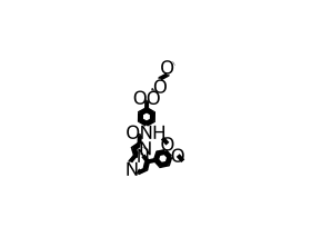 COCCOCOC(=O)c1ccc(NC(=O)c2cc3n(n2)C(c2ccc(OC)c(OC)c2)=CC=NC3)cc1